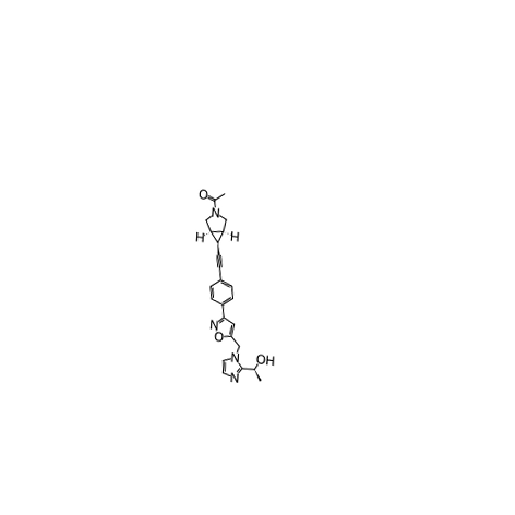 CC(=O)N1C[C@@H]2[C@H](C#Cc3ccc(-c4cc(Cn5ccnc5[C@H](C)O)on4)cc3)[C@@H]2C1